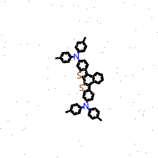 Cc1ccc(N(c2ccc(C)cc2)c2ccc3c(c2)sc2c4sc5cc(N(c6ccc(C)cc6)c6ccc(C)cc6)ccc5c4c4ccccc4c32)cc1